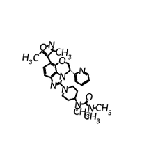 Cc1noc(C)c1-c1ccc2nc(N3CCC(N(C)C(=O)N(C)C)CC3)n3c2c1OC[C@@H]3c1ccccn1